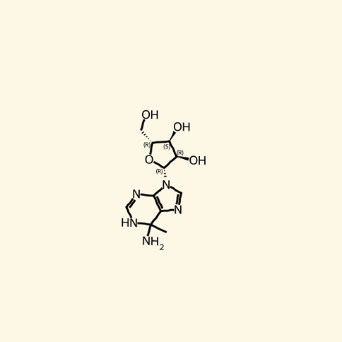 CC1(N)NC=Nc2c1ncn2[C@@H]1O[C@H](CO)[C@@H](O)[C@H]1O